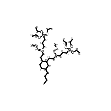 CCCCC1CCC(CCS(CCC[Si](OCC)(OCC)OCC)=S=S=S)C(CCS(CCC[Si](OCC)(OCC)OCC)=S=S=S)C1